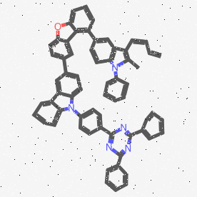 C=C/C=C\c1c(C)n(-c2ccccc2)c2ccc(-c3cccc4oc5ccc(-c6ccc7c(c6)c6ccccc6n7-c6ccc(-c7nc(-c8ccccc8)nc(-c8ccccc8)n7)cc6)cc5c34)cc12